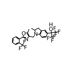 Cc1oc(-c2ccccc2C(F)(F)F)nc1CN1c2ccc(C(O)(C(F)(F)F)C(F)(F)F)cc2CC1C